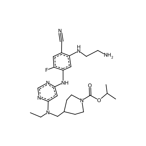 CCN(CC1CCN(C(=O)OC(C)C)CC1)c1cc(Nc2cc(NCCN)c(C#N)cc2F)ncn1